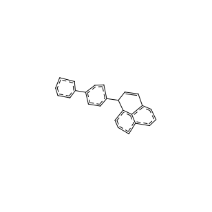 C1=CC(c2ccc(-c3ccccc3)cc2)c2cccc3cccc1c23